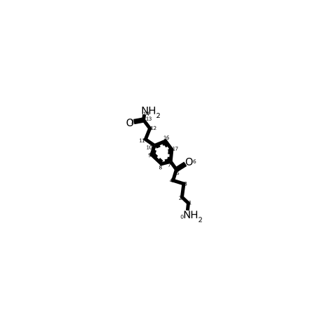 NCCCCC(=O)c1ccc(CCC(N)=O)cc1